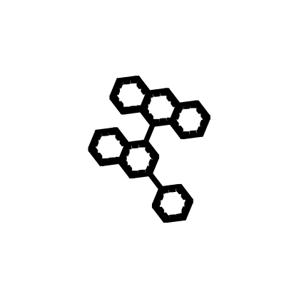 c1ccc(-c2cc(-c3c4ccccc4cc4ccccc34)c3ccccc3c2)cc1